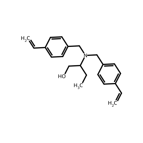 C=Cc1ccc(CN(Cc2ccc(C=C)cc2)C(CC)CO)cc1